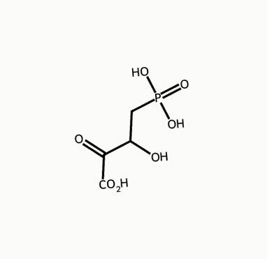 O=C(O)C(=O)C(O)CP(=O)(O)O